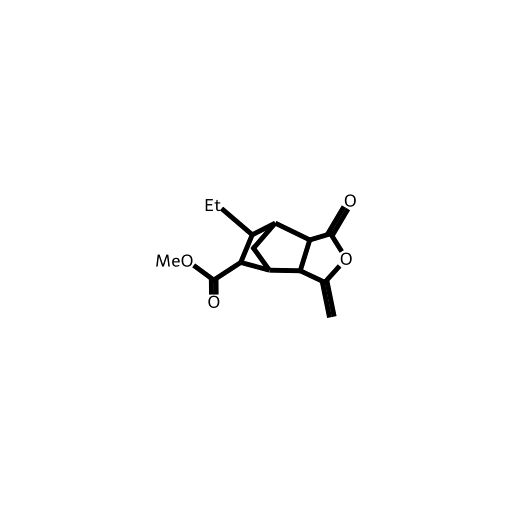 C=C1OC(=O)C2C3CC(C(C(=O)OC)C3CC)C12